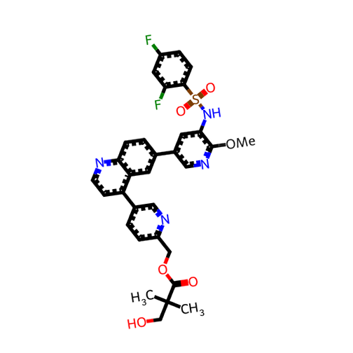 COc1ncc(-c2ccc3nccc(-c4ccc(COC(=O)C(C)(C)CO)nc4)c3c2)cc1NS(=O)(=O)c1ccc(F)cc1F